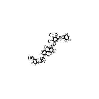 Cc1c(-c2nnc(CN3CC[C@@H](O)C3)o2)cccc1-c1cccc(COc2cc(OCc3cccnc3)c(C=O)cc2Cl)c1Br